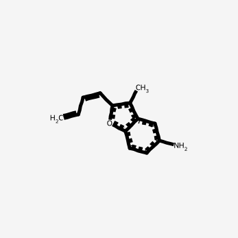 C=C/C=C\c1oc2ccc(N)cc2c1C